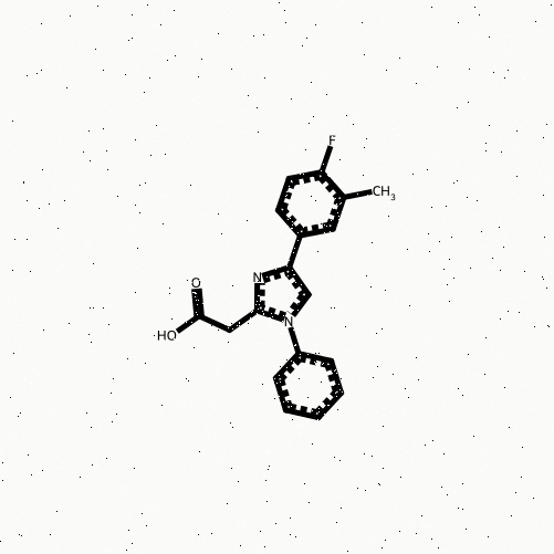 Cc1cc(-c2cn(-c3ccccc3)c(CC(=O)O)n2)ccc1F